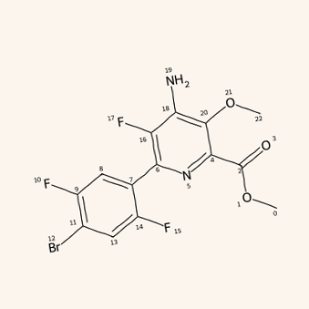 COC(=O)c1nc(-c2cc(F)c(Br)cc2F)c(F)c(N)c1OC